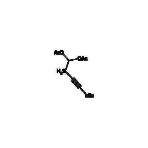 CCCCC#C[SiH2]C(OC(C)=O)OC(C)=O